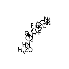 CC(=O)NC[C@H]1CN(c2cc(F)c(N3CCC(Cc4nnnn4C)CC3)c(F)c2)C(=O)O1